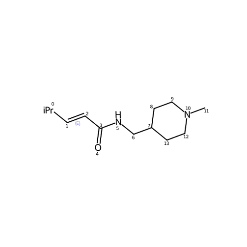 CC(C)/C=C/C(=O)NCC1CCN(C)CC1